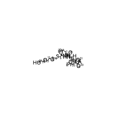 CC(C)C[C@H](NC(=O)CSCCOCCOCCO)C(=O)NCC(=O)N[C@@H](CC(C)C)C(=O)[C@@]1(C)CO1